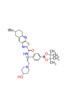 CC(C)(C)C1CCc2nc3sc(C(=O)N[C@H](CCN4CCC(O)CC4)c4ccc(B5OC(C)(C)C(C)(C)O5)cc4)nc3cc2C1